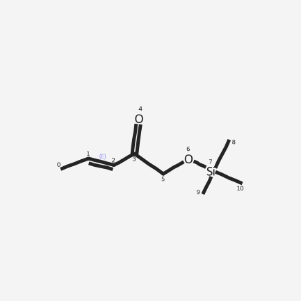 C/C=C/C(=O)CO[Si](C)(C)C